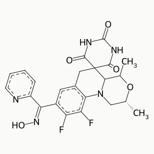 CC1O[C@H](C)CN2c3c(cc(/C(=N/O)c4ccccn4)c(F)c3F)CC3(C(=O)NC(=O)NC3=O)C12